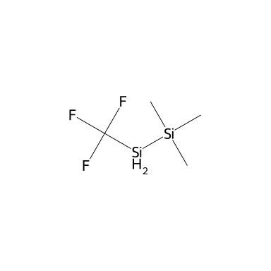 C[Si](C)(C)[SiH2]C(F)(F)F